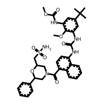 COC(=O)Nc1cc(C(C)(C)C)cc(NC(=O)Nc2ccc(C(=O)N3CC(CS(N)(=O)=O)OC(c4ccccc4)C3)c3ccccc23)c1OC